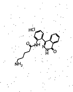 Cl.NCCCCC(=O)Nc1ccccc1-c1n[nH]c(=O)c2ccccc12